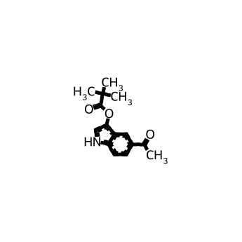 CC(=O)c1ccc2[nH]cc(OC(=O)C(C)(C)C)c2c1